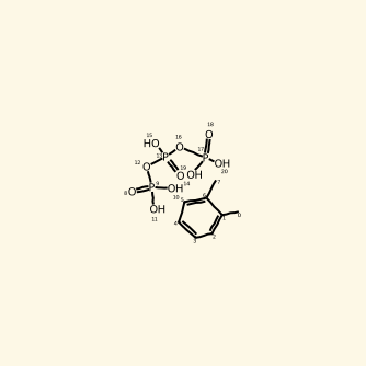 Cc1ccccc1C.O=P(O)(O)OP(=O)(O)OP(=O)(O)O